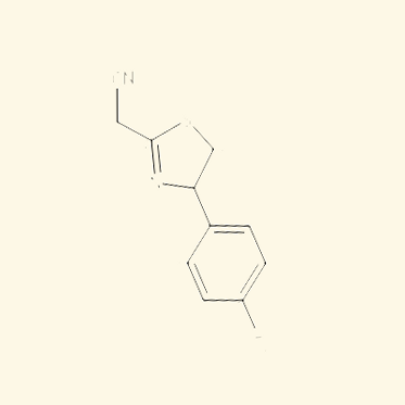 N#CCC1=NC(c2ccc(F)cc2)CS1